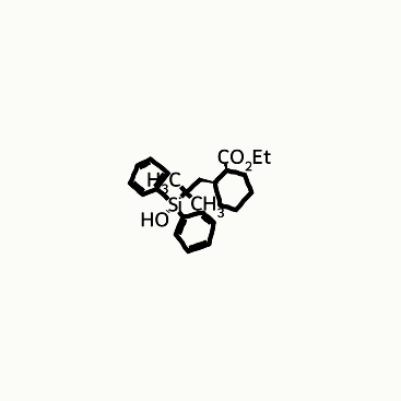 CCOC(=O)[C@@H]1CCCC[C@H]1CC(C)(C)[Si](O)(c1ccccc1)c1ccccc1